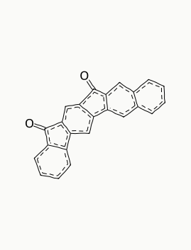 O=c1c2ccccc2c2cc3c(cc12)c(=O)c1cc2ccccc2cc13